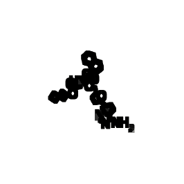 Nc1ncnn2c(C3CCC(COP(=O)(NCC(=O)OC4CC5(CCC5)C4)Oc4cccc5ccccc45)O3)ccc12